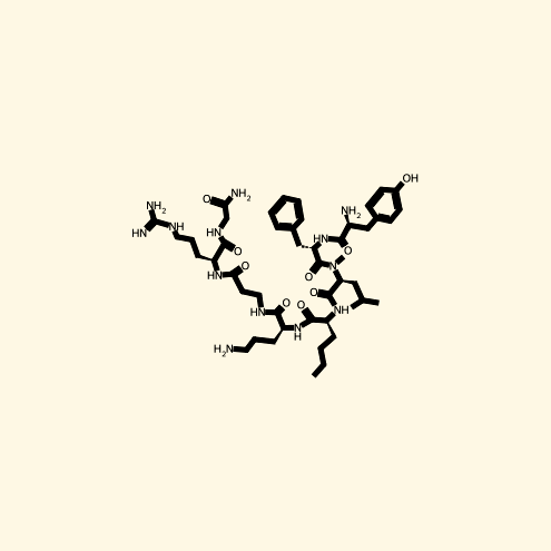 CCCC[C@H](NC(=O)[C@H](CC(C)C)N(C)C(=O)[C@H](Cc1ccccc1)NC(=O)[C@@H](N)Cc1ccc(O)cc1)C(=O)N[C@@H](CCCN)C(=O)NCCC(=O)N[C@@H](CCCNC(=N)N)C(=O)NCC(N)=O